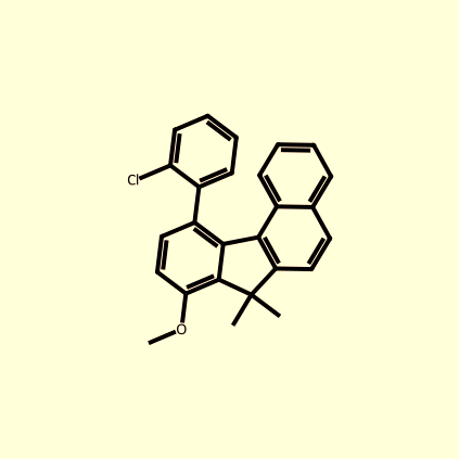 COc1ccc(-c2ccccc2Cl)c2c1C(C)(C)c1ccc3ccccc3c1-2